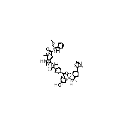 Cc1ncsc1-c1ccc([C@H](C)NC(=O)[C@@H]2C[C@@H](O)CN2C(=O)c2ccc(C(=O)Nc3n[nH]c4c3CN(C(=O)N[C@H](CN(C)C)c3ccccc3)C4(C)C)cc2)cc1